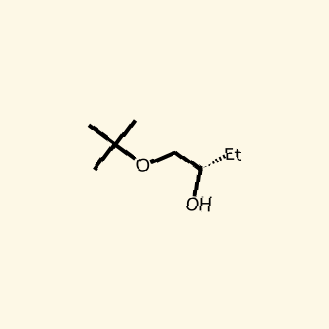 CC[C@H](O)COC(C)(C)C